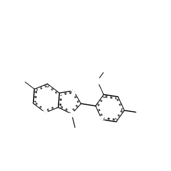 CCSc1cc(O)cnc1-c1nc2cc(C(F)(F)F)cnc2n1C